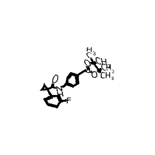 CC1(C)OB(c2ccc(NC(=O)C3(c4cccc(F)c4)CC3)cc2)OC1(C)C